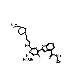 CN1CCN(CCCNc2ncc(F)c(-c3cc4c(C(=O)NC5CC5)cccc4s3)n2)CC1.Cl.Cl.Cl